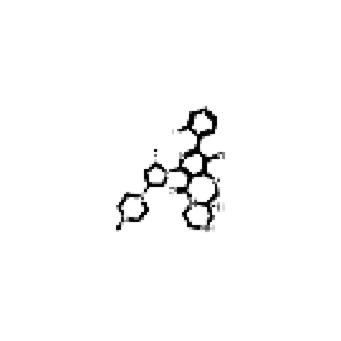 C[C@H]1C[C@H](N2CCN(C)CC2)CN1c1nc(-c2ccccc2F)c(Cl)c2c1C(=O)N1CCNC[C@@H]1CO2